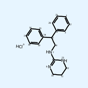 Cl.c1ccc(C(CNC2=NCCCN2)c2ccccc2)cc1